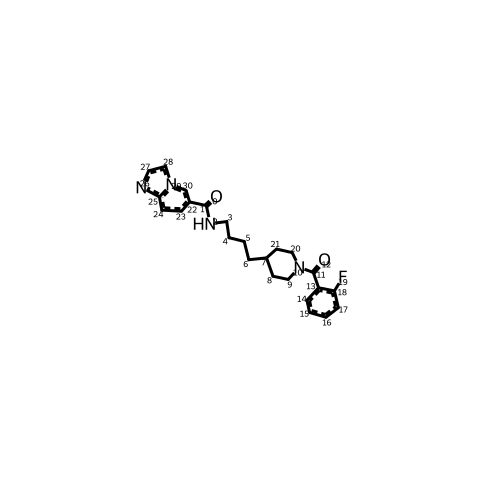 O=C(NCCCCC1CCN(C(=O)c2ccccc2F)CC1)c1ccc2nccn2c1